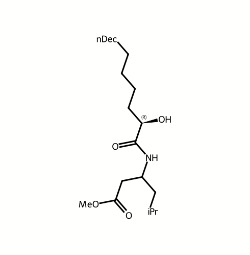 CCCCCCCCCCCCCC[C@@H](O)C(=O)NC(CC(=O)OC)CC(C)C